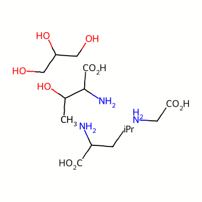 CC(C)CC(N)C(=O)O.CC(O)C(N)C(=O)O.NCC(=O)O.OCC(O)CO